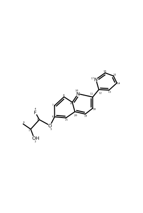 CC(O)C(F)Oc1ccc2nc(-c3ccccn3)ccc2c1